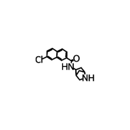 O=C(NC1CC2CC1CN2)c1ccc2ccc(Cl)cc2c1